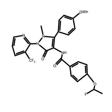 COc1ccc(-c2c(NC(=O)c3ccc(OC(C)F)cc3)c(=O)n(-c3ncccc3C(F)(F)F)n2C)cc1